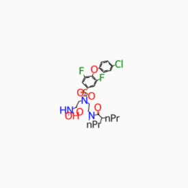 CCCC(CCC)C(=O)N(C)CCN(CC(=O)NO)S(=O)(=O)c1cc(F)c(Oc2ccc(Cl)cc2)c(F)c1